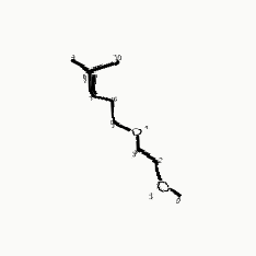 COCCOC[CH]C=C(C)C